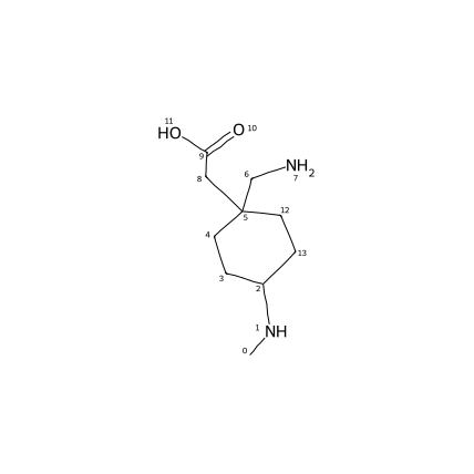 CNC1CCC(CN)(CC(=O)O)CC1